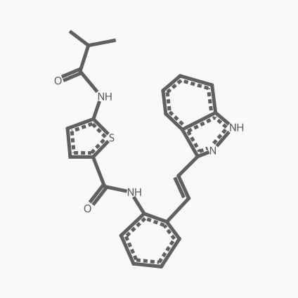 CC(C)C(=O)Nc1ccc(C(=O)Nc2ccccc2C=Cc2n[nH]c3ccccc23)s1